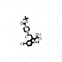 CC(C)(C)OC(=O)N1CCN(C(=O)Cc2c(C(=O)O)[nH]c3ccc(Cl)cc23)CC1